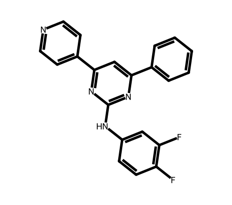 Fc1ccc(Nc2nc(-c3ccccc3)cc(-c3ccncc3)n2)cc1F